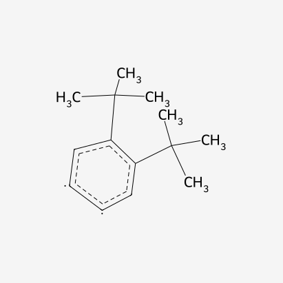 CC(C)(C)c1c[c][c]cc1C(C)(C)C